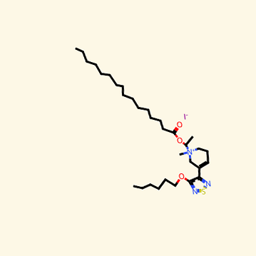 CCCCCCCCCCCCCCCC(=O)OC(C)[N+]1(C)CCC=C(c2nsnc2OCCCCCC)C1.[I-]